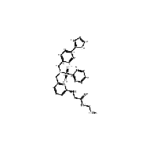 CCCCCCCCCCCNC(=O)CNc1cccc(CN(Cc2ccc(-c3nccs3)cc2)S(=O)(=O)c2ccccn2)n1